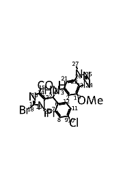 COc1cc(NC(c2ccc(Cl)cc2)c2c(C(=O)O)nc(Br)n2C(C)C)cc2c1nnn2C